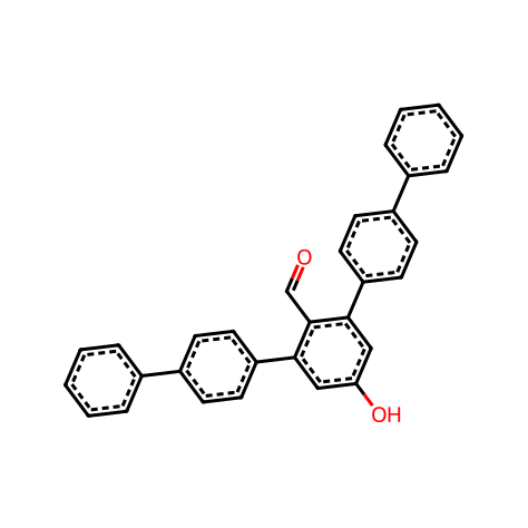 O=Cc1c(-c2ccc(-c3ccccc3)cc2)cc(O)cc1-c1ccc(-c2ccccc2)cc1